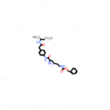 NC(CCCCNC(=O)OCc1ccccc1)C(=O)Nc1ccc(CC(=O)NC(CC(=O)O)C(=O)O)cc1